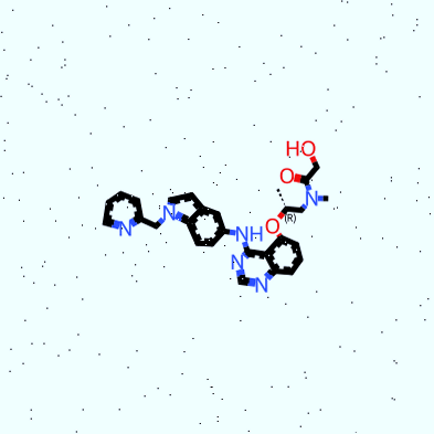 C[C@H](CN(C)C(=O)CO)Oc1cccc2ncnc(Nc3ccc4c(ccn4Cc4ccccn4)c3)c12